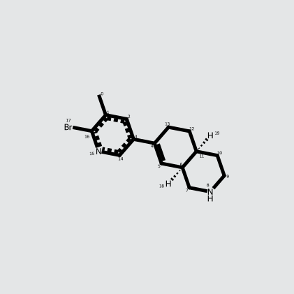 Cc1cc(C2=C[C@@H]3CNCC[C@@H]3CC2)cnc1Br